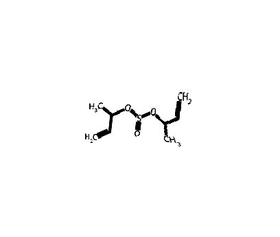 C=CC(C)OS(=O)OC(C)C=C